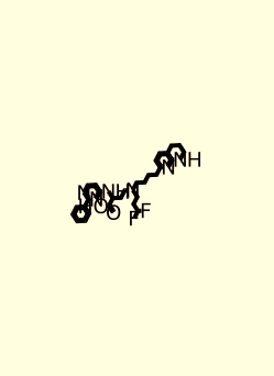 O=C(O)C(CCN(CCCCc1ccc2c(n1)NCCC2)CCC(F)F)Nc1ccnc(-c2ccccc2)n1